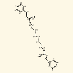 O=C(/C=C/c1ccccc1)OCCSCCSCCOC(=O)/C=C/c1ccccc1